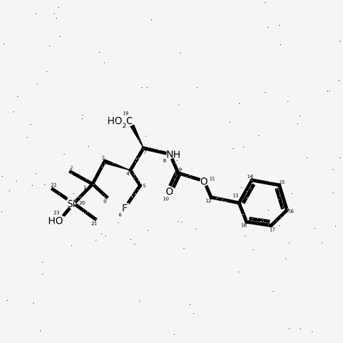 CC(C)(C[C@H](CF)[C@H](NC(=O)OCc1ccccc1)C(=O)O)[Si](C)(C)O